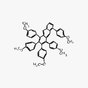 COc1ccc(-c2c(-c3ccc(OC)cc3)c(-c3ccc(OC)cc3)c3cc4c(-c5ccc(OC)cc5)cccc4cc3c2-c2ccc(OC)cc2)cc1